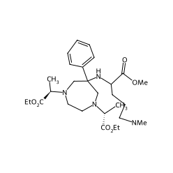 CCOC(=O)[C@@H](C)N1CCN([C@H](C)C(=O)OCC)CC(NC(CCCNC)C(=O)OC)(c2ccccc2)C1